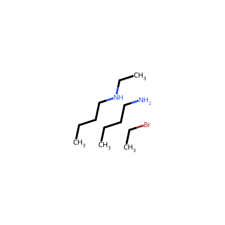 CCBr.CCCCN.CCCCNCC